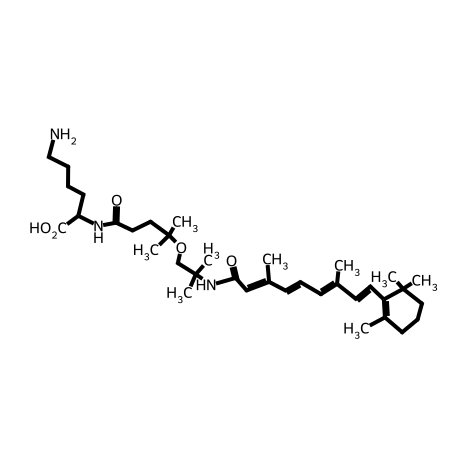 CC1=C(/C=C/C(C)=C/C=C/C(C)=C/C(=O)NC(C)(C)COC(C)(C)CCC(=O)NC(CCCCN)C(=O)O)C(C)(C)CCC1